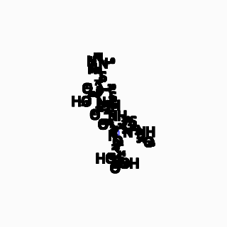 Cn1nnnc1SCC1=C(C(=O)O)N2C(=O)C(NC(=O)/C(=N/OCCP(=O)(O)O)c3csc(NC=O)n3)[C@H]2SC1